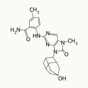 Cc1ccc(Nc2ncc3c(n2)n(C2C4CC5CC2CC(O)(C5)C4)c(=O)n3C)c(C(N)=O)c1